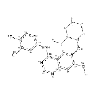 CCC1CNCCC1Oc1cc2c(Nc3ccc(F)c(Cl)c3)ncnc2cc1OC